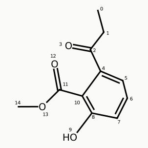 CCC(=O)c1cccc(O)c1C(=O)OC